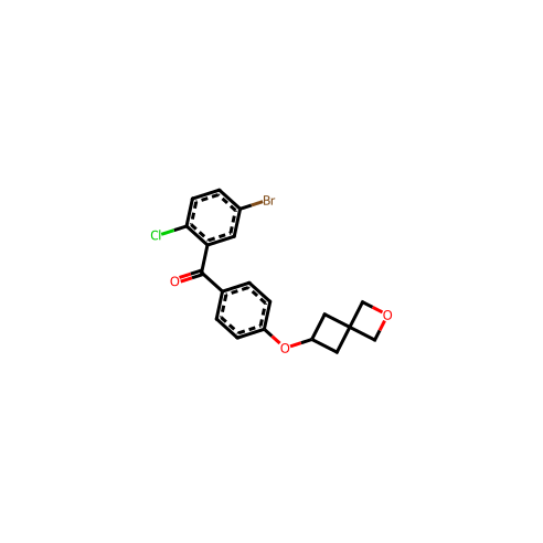 O=C(c1ccc(OC2CC3(COC3)C2)cc1)c1cc(Br)ccc1Cl